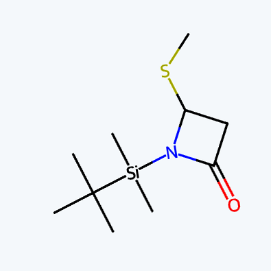 CSC1CC(=O)N1[Si](C)(C)C(C)(C)C